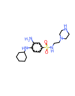 Nc1cc(S(=O)(=O)NCCN2CCNCC2)ccc1NC1CCCCC1